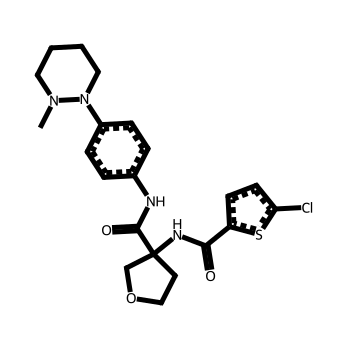 CN1CCCCN1c1ccc(NC(=O)C2(NC(=O)c3ccc(Cl)s3)CCOC2)cc1